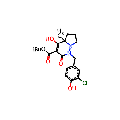 CC(C)COC(=O)C1=C(O)C2(C)CCCN2N(Cc2ccc(O)c(Cl)c2)C1=O